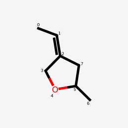 C/C=C1\COC(C)C1